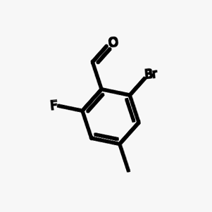 Cc1cc(F)c(C=O)c(Br)c1